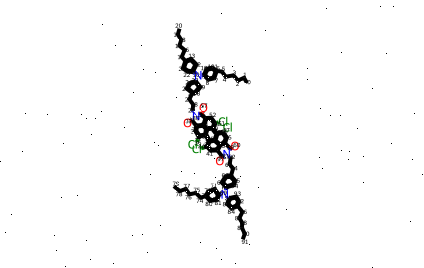 CCCCCCc1ccc(N(c2ccc(CCCCCC)cc2)c2ccc(CCCN3C(=O)c4cc(Cl)c5c6c(Cl)cc7c8c(cc(Cl)c(c9c(Cl)cc(c4c59)C3=O)c86)C(=O)N(CCCc3ccc(N(c4ccc(CCCCCC)cc4)c4ccc(CCCCCC)cc4)cc3)C7=O)cc2)cc1